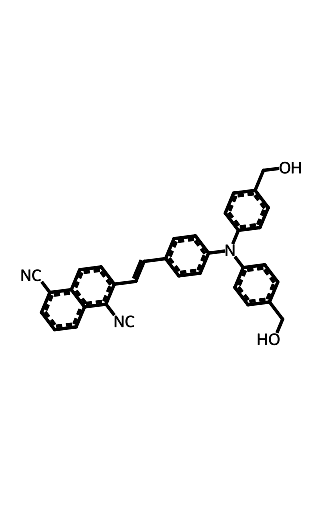 [C-]#[N+]c1c(C=Cc2ccc(N(c3ccc(CO)cc3)c3ccc(CO)cc3)cc2)ccc2c(C#N)cccc12